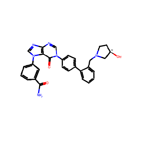 NC(=O)c1cccc(-n2cnc3ncn(-c4ccc(-c5ccccc5CN5CC[C@@H](O)C5)cc4)c(=O)c32)c1